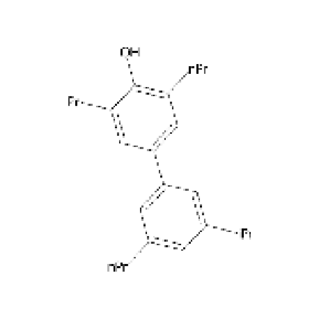 CCCc1cc(-c2cc(CCC)c(O)c(C(C)C)c2)cc(C(C)C)c1